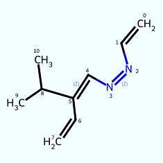 C=C/N=N\C=C(/C=C)C(C)C